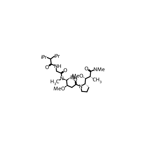 CC[C@H](C)[C@@H]([C@@H](CC(=O)N1CCC[C@H]1[C@H](OC)[C@@H](C)C(=O)NC)OC)N(C)C(=O)CNC(=O)C(C(C)C)C(C)C